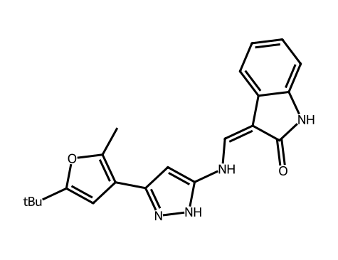 Cc1oc(C(C)(C)C)cc1-c1cc(NC=C2C(=O)Nc3ccccc32)[nH]n1